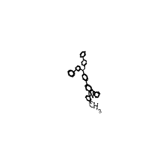 Cc1cccc(-n2c3ccccc3c3cc(-c4ccc(C(CC5=CCC(c6ccccc6)C=C5)c5cccc(-c6ccccc6)c5)cc4)ccc32)c1